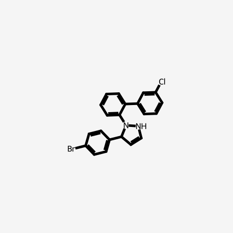 Clc1cccc(-c2ccccc2N2NC=CC2c2ccc(Br)cc2)c1